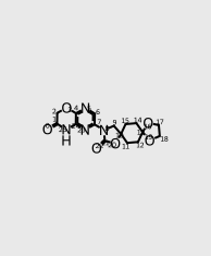 O=C1COc2ncc(N3CC4(CCC5(CC4)OCCO5)OC3=O)nc2N1